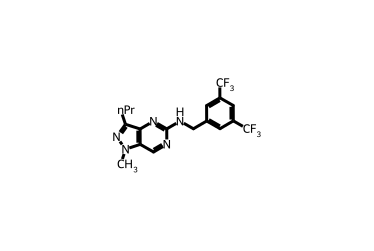 CCCc1nn(C)c2cnc(NCc3cc(C(F)(F)F)cc(C(F)(F)F)c3)nc12